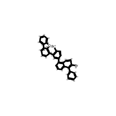 Brc1ccc(-c2cccc3c(-c4ccccc4)c(Br)ccc23)cc1-c1cccc2c1oc1ccccc12